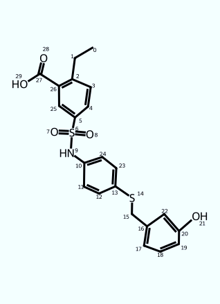 CCc1ccc(S(=O)(=O)Nc2ccc(SCc3cccc(O)c3)cc2)cc1C(=O)O